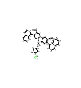 CC(C)(C)c1cc2c(cc1-c1cccc3ccccc13)[CH]([Zr+2][C]1=CC=CC1)c1cc(-c3cccc4ccccc34)c(C(C)(C)C)cc1-2.[Cl-].[Cl-]